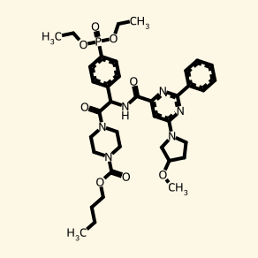 CCCCOC(=O)N1CCN(C(=O)C(NC(=O)c2cc(N3CCC(OC)C3)nc(-c3ccccc3)n2)c2ccc(P(=O)(OCC)OCC)cc2)CC1